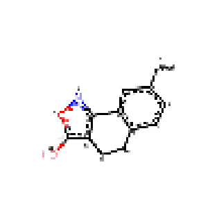 COc1ccc2c(c1)-c1noc(O)c1CC2